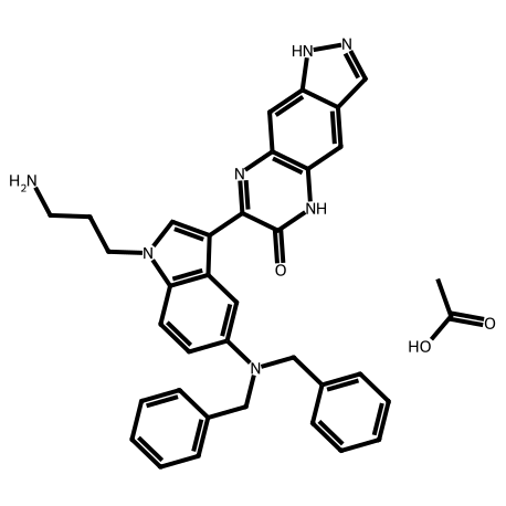 CC(=O)O.NCCCn1cc(-c2nc3cc4[nH]ncc4cc3[nH]c2=O)c2cc(N(Cc3ccccc3)Cc3ccccc3)ccc21